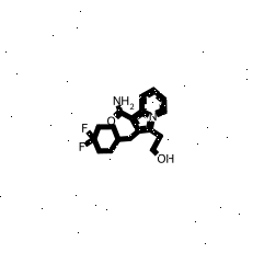 NC(=O)c1c(CC2CCC(F)(F)CC2)c(CCO)n2ccccc12